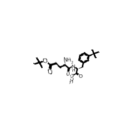 CC(C)(C)OC(=O)CC[C@H](N)C(=O)N[C@@H](Cc1cccc(C(C)(C)C)c1)C(=O)O